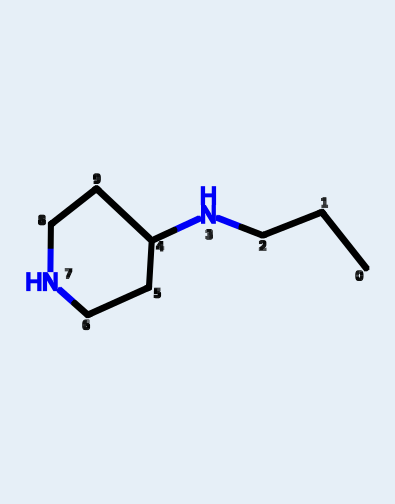 CCCNC1CCNCC1